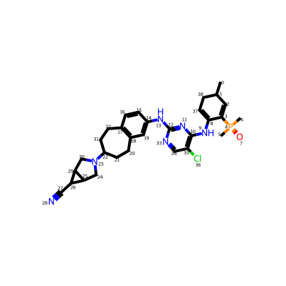 CC1C=C(P(C)(C)=O)C(Nc2nc(Nc3ccc4c(c3)CCC(N3CC5C(C#N)C5C3)CC4)ncc2Cl)=CC1